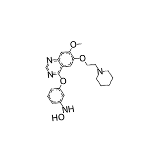 COc1cc2ncnc(Oc3cccc(NO)c3)c2cc1OCCN1CCCCC1